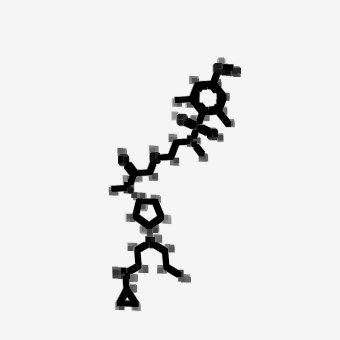 COc1cc(C)c(S(=O)(=O)N(C)CCOCC(=O)N(C)[C@@H]2CC[C@H](N(CCI)CCNC3CC3)C2)c(C)c1